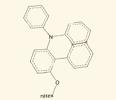 CCCCCCOc1cccc(N(c2ccccc2)c2ccccc2)c1-c1ccccc1